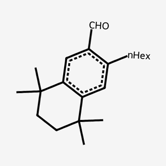 CCCCCCc1cc2c(cc1C=O)C(C)(C)CCC2(C)C